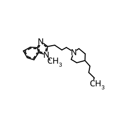 CCCCC1CCN(CCCc2nc3ccccc3n2C)CC1